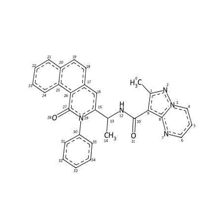 Cc1nn2cccnc2c1C(=O)NC(C)c1cc2ccc3ccccc3c2c(=O)n1-c1ccccc1